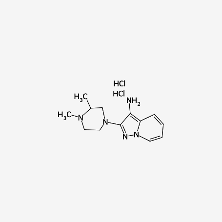 CC1CN(c2nn3ccccc3c2N)CCN1C.Cl.Cl